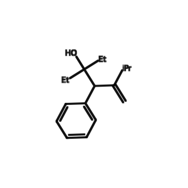 C=C(C(C)C)C(c1ccccc1)C(O)(CC)CC